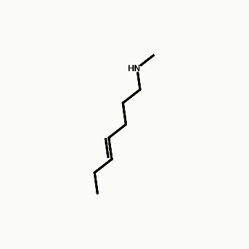 CCC=CCCCNC